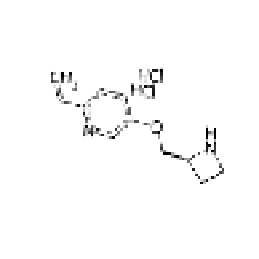 C=Cc1ccc(OC[C@@H]2CCN2)cn1.Cl.Cl